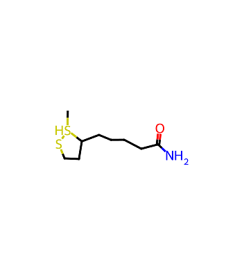 C[SH]1SCCC1CCCCC(N)=O